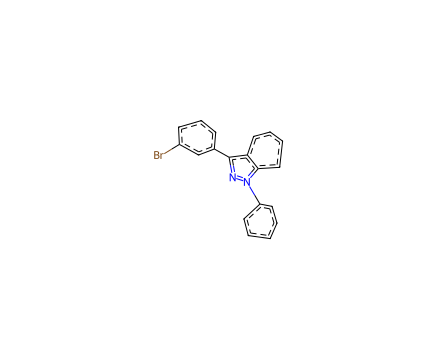 Brc1cccc(-c2nn(-c3ccccc3)c3ccccc23)c1